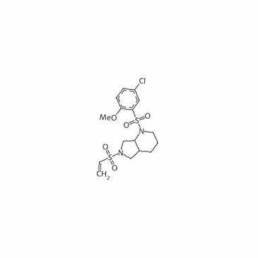 C=CS(=O)(=O)N1CC2CCCN(S(=O)(=O)c3cc(Cl)ccc3OC)C2C1